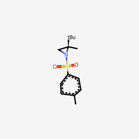 Cc1ccc(S(=O)(=O)N2C[C@@]2(C)C(C)(C)C)cc1